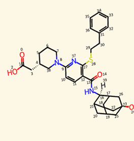 O=C(O)C[C@@H]1CCCN(c2ccc(C(=O)N[C@H]3C4CC5CC3C[C@@](O)(C5)C4)c(SCCc3ccccc3)n2)C1